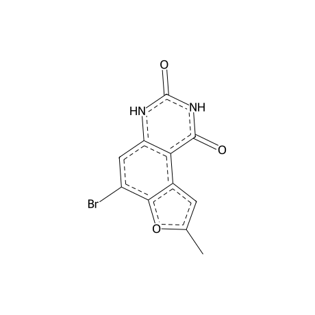 Cc1cc2c(o1)c(Br)cc1[nH]c(=O)[nH]c(=O)c12